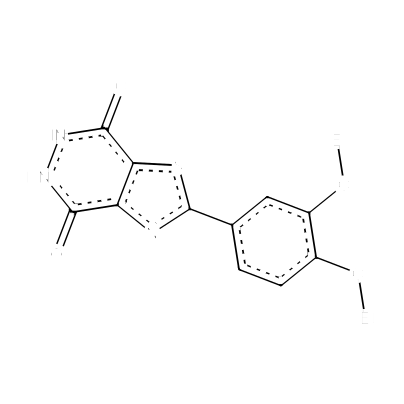 CCOc1ccc(-c2nc3c(=O)[nH][nH]c(=O)c3s2)cc1OCC